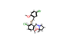 COc1ccc(Br)cc1CSc1c(Cl)cccc1CN1CCCC1(C)OC